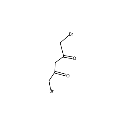 O=C(CBr)CC(=O)CBr